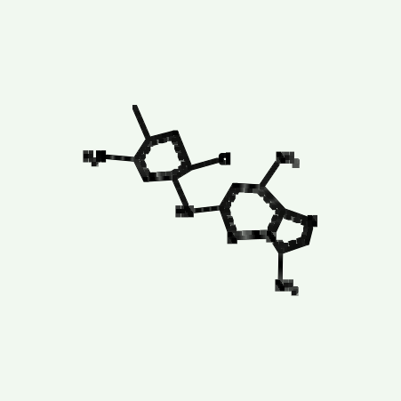 Cc1cc(Cl)c(Nc2cc(N)c3ncc(N)n3n2)cc1N